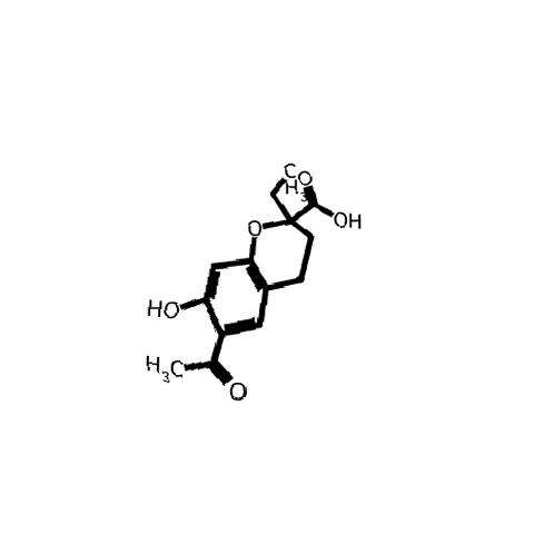 CCC1(C(=O)O)CCc2cc(C(C)=O)c(O)cc2O1